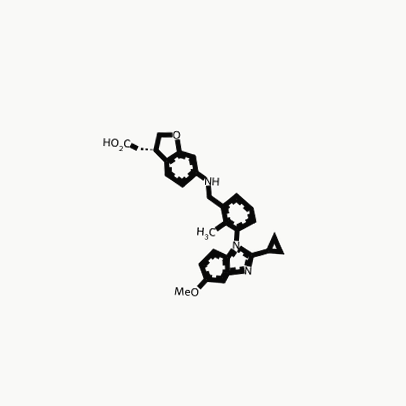 COc1ccc2c(c1)nc(C1CC1)n2-c1cccc(CNc2ccc3c(c2)OC[C@H]3CC(=O)O)c1C